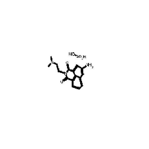 CN(C)CCN1C(=O)c2cccc3cc(N)cc(c23)C1=O.O=S(=O)(O)O